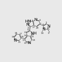 Cc1ncc(-c2cnc3[nH]nc(-c4cc5c(-c6cccnc6)cncc5[nH]4)c3c2)n1C